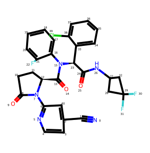 N#Cc1ccnc(N2C(=O)CC[C@H]2C(=O)N(c2ccccc2F)[C@H](C(=O)NC2CC(F)(F)C2)c2ccccc2Cl)c1